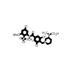 CCS(=O)(=O)c1c(OC)cc(Cl)cc1N(C)C(=O)c1cc(Cl)c(CN2CCC[C@H](N(C)C(=O)O)C2)c(C(F)(F)F)c1